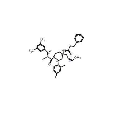 CO/C=C\C[C@]1(NC(=O)OCc2ccccc2)CCN(C(=O)N(C)[C@H](C)c2cc(C(F)(F)F)cc(C(F)(F)F)c2)[C@@H](c2ccc(F)cc2C)C1